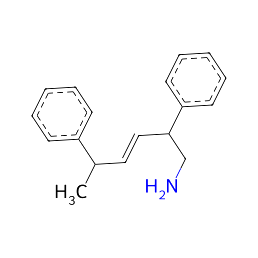 CC(C=CC(CN)c1ccccc1)c1ccccc1